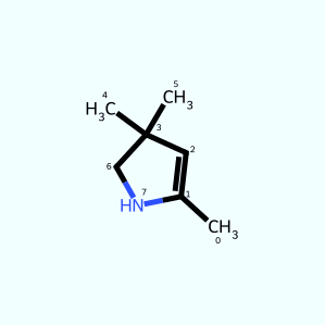 CC1=CC(C)(C)CN1